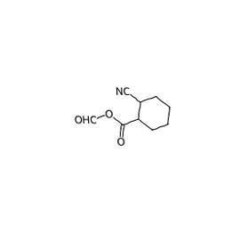 N#CC1CCCCC1C(=O)OC=O